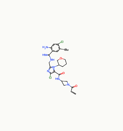 C=CC(=O)N1CC(NC(=O)c2c(Cl)nc(CNC(=N)c3cc(C(C)(C)C)c(Cl)cc3N)n2C2CCCOC2)C1